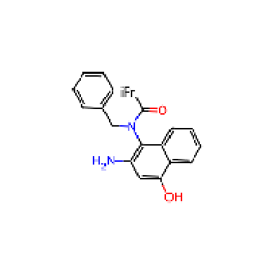 CC(C)C(=O)N(Cc1ccccc1)c1c(N)cc(O)c2ccccc12